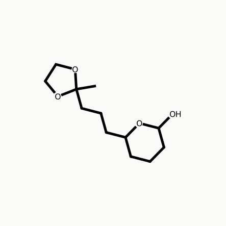 CC1(CCCC2CCCC(O)O2)OCCO1